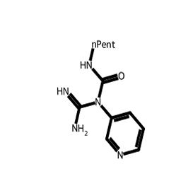 CCCCCNC(=O)N(C(=N)N)c1cccnc1